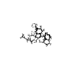 CC1CCc2ncnc(N3CC4(CCN(CC5CC5)CC4)c4cc(Cl)ccc43)c21